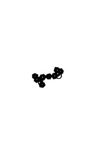 c1ccc(-n2c3cc(-c4ccc(-c5ccc6c(c5)-c5cccc7cccc(c57)O6)cc4)ccc3c3c4ccccc4ccc32)cc1